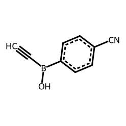 C#CB(O)c1ccc(C#N)cc1